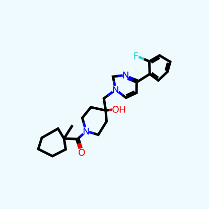 CC1(C(=O)N2CCC(O)(CN3C=CC(c4ccccc4F)=NC3)CC2)CCCCC1